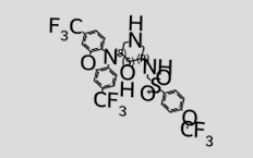 O=S(=O)(CN[C@@H]1CNC[C@H](N2c3ccc(C(F)(F)F)cc3Oc3cc(C(F)(F)F)ccc32)[C@H]1O)c1ccc(OC(F)(F)F)cc1